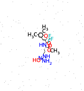 COC(=O)[C@H](CCCNC(N)=NO)NC(=O)C1=Cc2cc(C)cc(C)c2O[C@@H]1C(F)(F)F